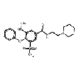 CCCCNc1cc(C(=O)NCCN2CCCCC2)cc(S(N)(=O)=O)c1Oc1ccccc1